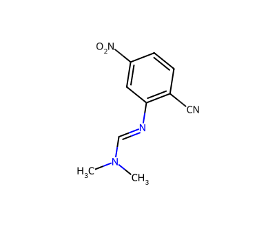 CN(C)C=Nc1cc([N+](=O)[O-])ccc1C#N